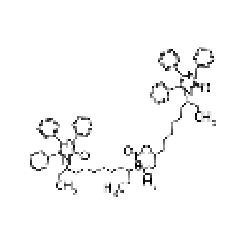 CCC(CCCCCCC(CC)n1c(-c2ccccc2)c(-c2ccccc2)n(-c2ccccc2)c1=O)O[PH](=O)OC(CC)CCCCCCC(CC)n1c(-c2ccccc2)c(-c2ccccc2)n(-c2ccccc2)c1=O